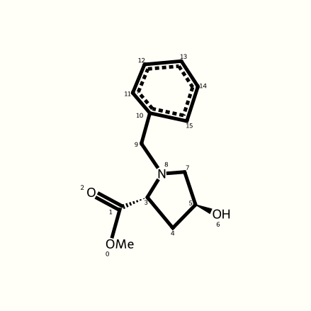 COC(=O)[C@H]1C[C@H](O)CN1Cc1ccccc1